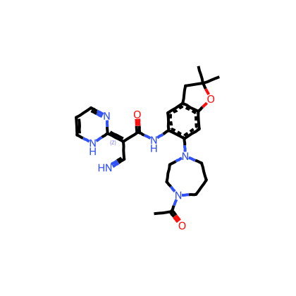 CC(=O)N1CCCN(c2cc3c(cc2NC(=O)/C(C=N)=C2\N=CC=CN2)CC(C)(C)O3)CC1